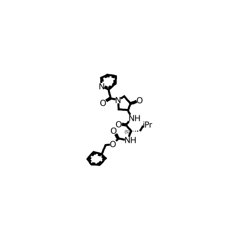 CC(C)C[C@H](NC(=O)OCc1ccccc1)C(=O)NC1CN(C(=O)c2ccccn2)CC1=O